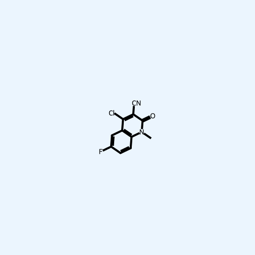 Cn1c(=O)c(C#N)c(Cl)c2cc(F)ccc21